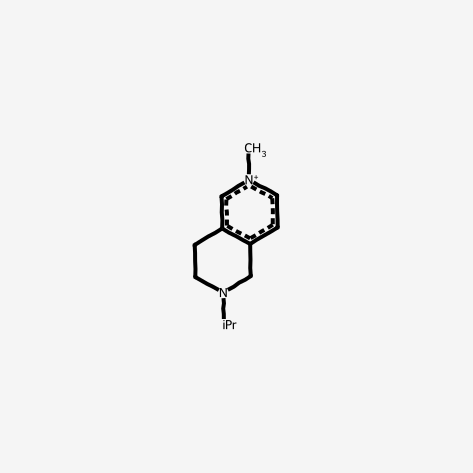 CC(C)N1CCc2c[n+](C)ccc2C1